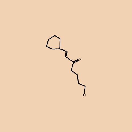 O=C(/C=C/C1CCCCC1)CCCCCl